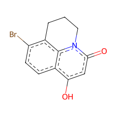 O=c1cc(O)c2ccc(Br)c3c2n1CCC3